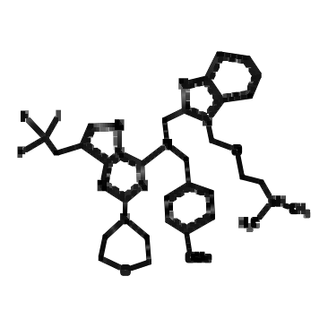 COc1ccc(CN(Cc2nc3ccccc3n2COCC[SiH](C)C)c2nc(N3CCOCC3)nc3c(CC(F)(F)I)cnn23)cc1